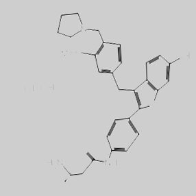 COc1cc(Cc2c(-c3ccc(NC(=O)C[C@H](N)C(=O)O)cc3)sc3cc(O)ccc23)ccc1CN1CCCC1.Cl.Cl